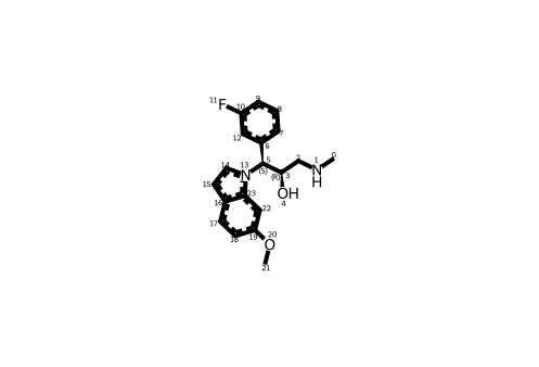 CNC[C@@H](O)[C@H](c1cccc(F)c1)n1ccc2ccc(OC)cc21